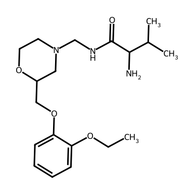 CCOc1ccccc1OCC1CN(CNC(=O)C(N)C(C)C)CCO1